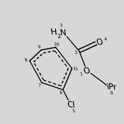 CC(C)OC(N)=O.Clc1ccccc1